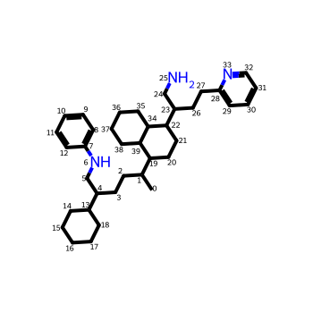 CC(CCC(CNc1ccccc1)C1CCCCC1)C1CCC(C(CN)CCc2ccccn2)C2CCCCC12